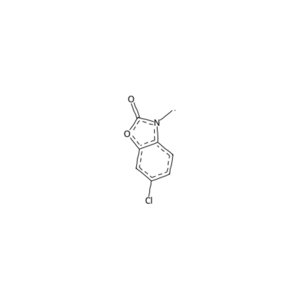 [CH2]n1c(=O)oc2cc(Cl)ccc21